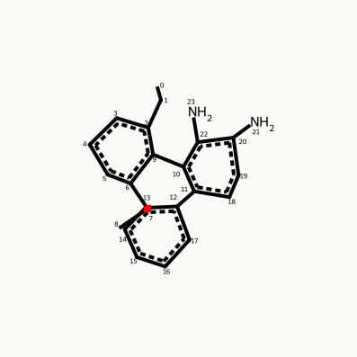 CCc1cccc(CC)c1-c1c(-c2ccccc2)ccc(N)c1N